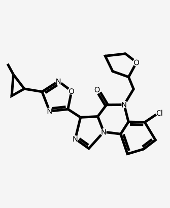 CC1CC1c1noc(C2N=CN3c4cccc(Cl)c4N(CC4CCCO4)C(=O)C23)n1